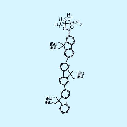 CC[C@H](C)CC1(C[C@@H](C)CC)c2ccccc2-c2ccc(-c3ccc4c(c3)C(C[C@@H](C)CC)(C[C@@H](C)CC)c3cc(-c5ccc6c(c5)C(C[C@@H](C)CC)(C[C@@H](C)CC)c5cc(B7OC(C)(C)C(C)(C)O7)ccc5-6)ccc3-4)cc21